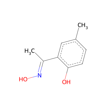 CC(=NO)c1cc(C)ccc1O